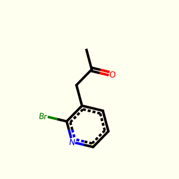 CC(=O)Cc1cccnc1Br